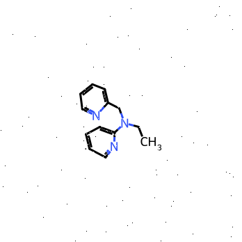 CCN(Cc1ccccn1)c1cc[c]cn1